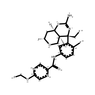 C[C@@H]1C[C@H]2OC(N)=N[C@](CF)(c3cc(NC(=O)c4cnc(OCF)cn4)ccc3F)[C@H]2CO1